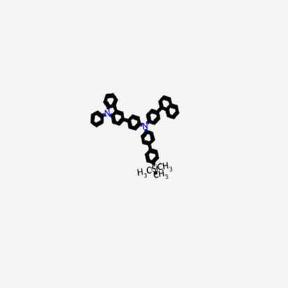 C[Si](C)(C)c1ccc(-c2ccc(N(c3ccc(-c4ccc5c(c4)c4ccccc4n5-c4ccccc4)cc3)c3ccc(-c4cccc5ccccc45)cc3)cc2)cc1